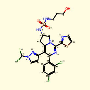 O=S(=O)(NCCCO)N[C@H]1CC2=C(c3ccn(C(F)F)n3)[C@H](c3ccc(F)cc3Cl)N=C(c3nccs3)N2C1